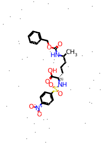 CC(CCC[C@H](NS(=O)(=O)c1ccc([N+](=O)[O-])cc1)C(=O)O)NC(=O)OCc1ccccc1